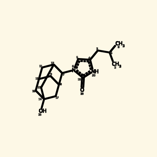 CC(C)Cc1cn(C2C3CC4CC2CC(O)(C4)C3)c(=O)[nH]1